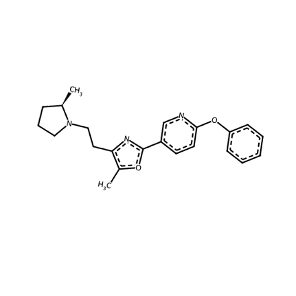 Cc1oc(-c2ccc(Oc3ccccc3)nc2)nc1CCN1CCC[C@H]1C